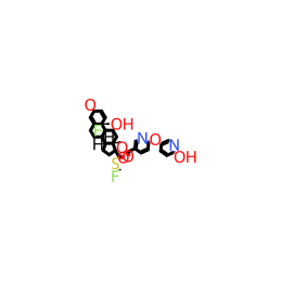 C[C@]12C=CC(=O)C=C1CC[C@H]1[C@@H]3CC[C@](OC(=O)c4ccc(Oc5ccc(O)nc5)nc4)(C(=O)SCF)[C@@]3(C)C[C@H](O)[C@@]12F